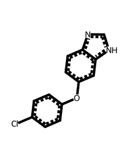 Clc1ccc(Oc2ccc3nc[nH]c3c2)cc1